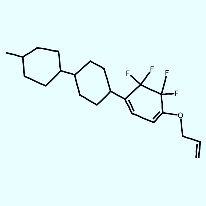 C=CCOC1=CC=C(C2CCC(C3CCC(C)CC3)CC2)C(F)(F)C1(F)F